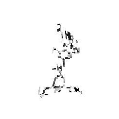 Cc1cc(NCc2cc(O)c(N3CC(=O)NS3(=O)=O)c(F)c2)cc(C)n1